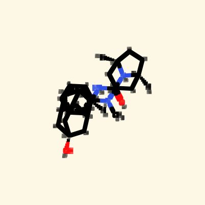 CN(c1ccccc1)[C@H]1C[C@H]2CC[C@@H](C1)N2C(=O)N[C@H]1C2CC3CC1C[C@](O)(C3)C2